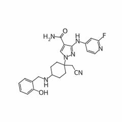 N#CCC1(n2cc(C(N)=O)c(Nc3ccnc(F)c3)n2)CCC(NCc2ccccc2O)CC1